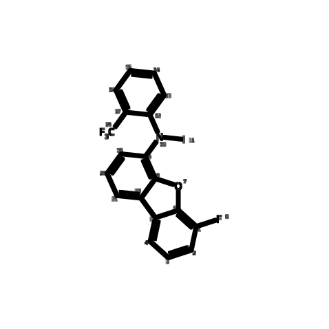 Fc1cccc2c1oc1c(N(I)c3ccccc3C(F)(F)F)cccc12